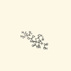 C=C1C[C@@](NC(=O)OC(C)(C)C)(C(=O)O)[C@H]2[C@@H]1[C@@H]2C(=O)O